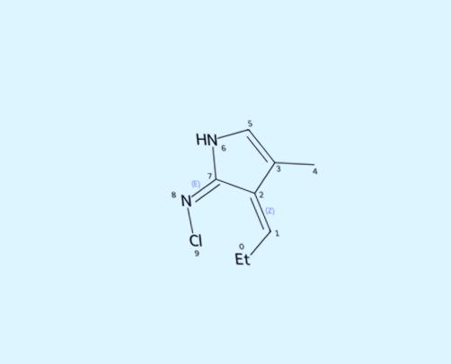 CC/C=C1/C(C)=CN/C1=N/Cl